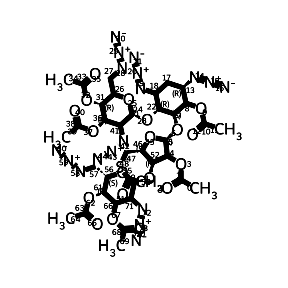 CC(=O)OC1[C@H](O[C@@H]2C(OC(C)=O)[C@H](N=[N+]=[N-])CC(N=[N+]=[N-])[C@H]2O[C@H]2OC(CN=[N+]=[N-])[C@@H](OC(C)=O)[C@H](OC(C)=O)C2N=[N+]=[N-])O[C@H](CSC(C)=O)[C@@H]1O[C@H]1O[C@@H](CN=[N+]=[N-])[C@@H](OC(C)=O)C(OC(C)=O)C1N=[N+]=[N-]